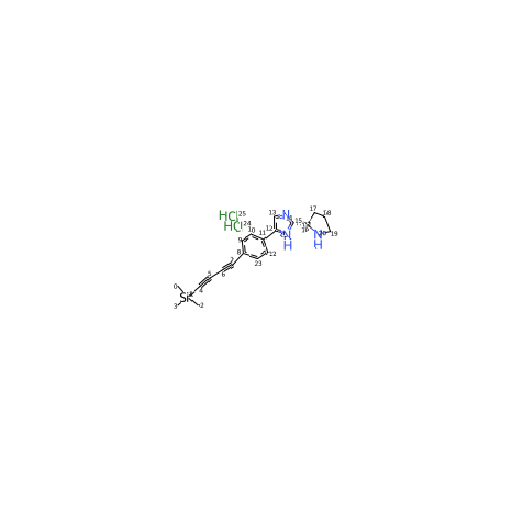 C[Si](C)(C)C#CC#Cc1ccc(-c2cnc([C@@H]3CCCN3)[nH]2)cc1.Cl.Cl